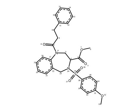 COC(=O)C1CN(C(=O)CCc2ccccc2)c2ccccc2CN1S(=O)(=O)c1ccc(OC)cc1